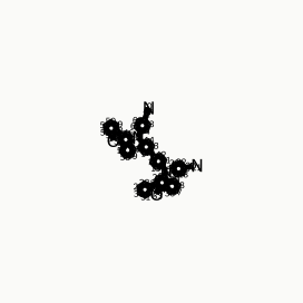 N#Cc1ccc(N(c2ccc(-c3ccc(N(c4ccc(C#N)cc4)c4cc5c6ccccc6oc5c5ccccc45)cc3)cc2)c2cc3c4ccccc4oc3c3ccccc23)cc1